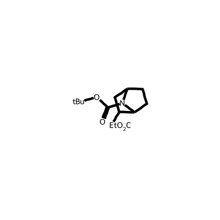 CCOC(=O)C1CC2CCC1N2C(=O)OC(C)(C)C